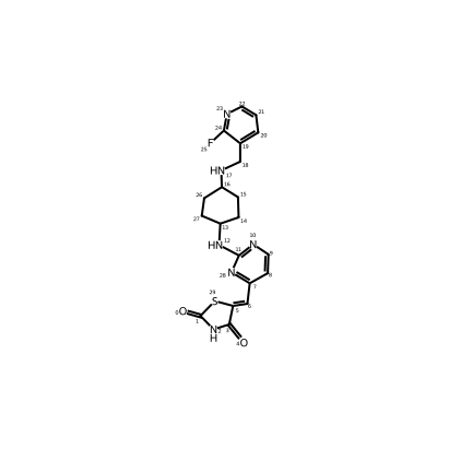 O=C1NC(=O)C(=Cc2ccnc(NC3CCC(NCc4cccnc4F)CC3)n2)S1